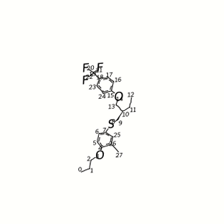 CCCOc1ccc(SC[C@H](CC)COc2ccc(C(F)(F)F)cc2)cc1C